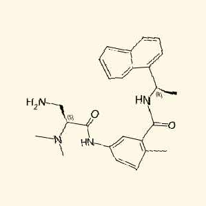 Cc1ccc(NC(=O)[C@H](CN)N(C)C)cc1C(=O)N[C@H](C)c1cccc2ccccc12